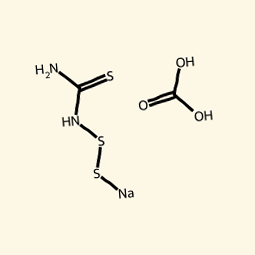 NC(=S)NS[S][Na].O=C(O)O